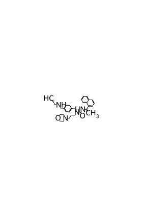 C#CCNCc1ccc(CN(CCCN2CCOCC2)C(=O)N[C@@H](C)c2cccc3ccccc23)cc1